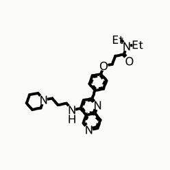 CCN(CC)C(=O)CCOc1ccc(-c2cc(NCCCN3CCCCC3)c3cnccc3n2)cc1